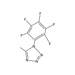 Cc1nnnn1-c1c(F)c(F)c(F)c(F)c1F